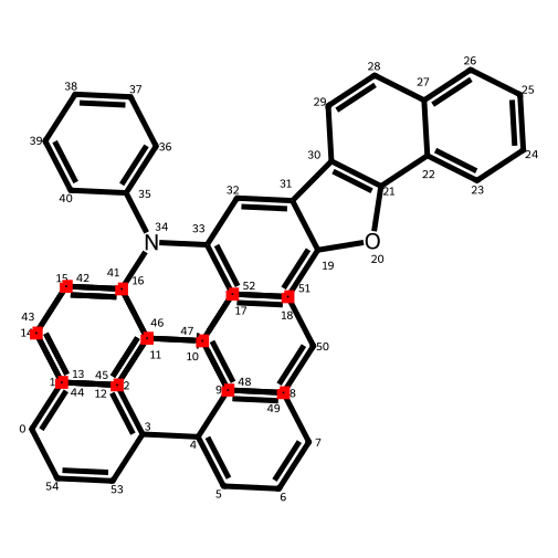 c1ccc(-c2ccccc2N(c2ccccc2)c2cc3oc4c5ccccc5ccc4c3cc2N(c2ccccc2)c2ccccc2-c2ccccc2)cc1